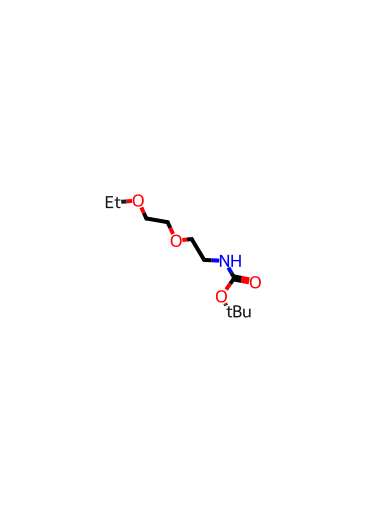 [CH2]COCCOCCNC(=O)OC(C)(C)C